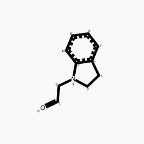 O=CCN1CCc2ccccc21